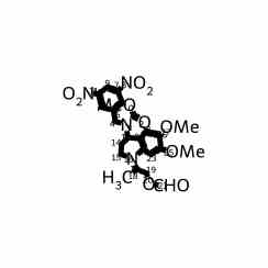 COC(=O)N(Cc1cc([N+](=O)[O-])cc([N+](=O)[O-])c1)C1CCN(C(C)COC=O)c2cc(OC)c(OC)cc21